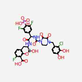 O=C(O)c1c(F)ccc2c1OB(O)C(NC(=O)C(NC(=O)N1CCN(Cc3ccc(O)c(O)c3Cl)C(=O)C1=O)c1cc(F)c(P(=O)(O)O)c(F)c1)C2